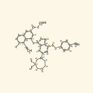 C#Cc1c(F)ccc2cc(OCOC)cc(Cn3cnc4c(SCc5ccc(C(C)(C)C)cc5)nc(N5CCOCC(F)(F)C5)nc43)c12